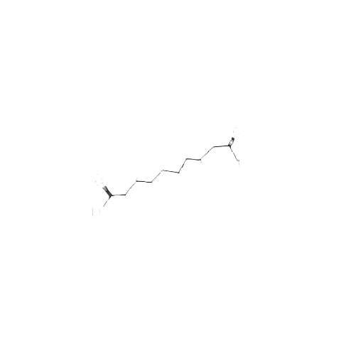 CCC(=O)CCCCCCCCC(=O)I